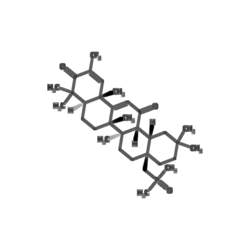 CC1(C)CC[C@]2(CP(C)(C)=O)CC[C@]3(C)[C@H](C(=O)C=C4[C@@]5(C)C=C(C(F)(F)F)C(=O)C(C)(C)[C@@H]5CC[C@]43C)[C@@H]2C1